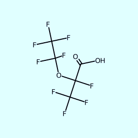 O=C(O)C(F)(OC(F)(F)C(F)(F)F)C(F)(F)F